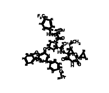 C=C[C@@H]1C[C@]1(NC(=O)[C@@H]1C[C@@H](Oc2nc(-c3ccc(OC(C)C)cc3)nc3c2oc2ccccc23)CN1C(=O)[C@@H](Nc1ccc(C(F)(F)F)cc1)C(C)(C)C)C(=O)NS(=O)(=O)C1CC1